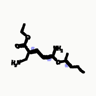 CC/C=C(\C)O/C(N)=C/C=C(\CN)C(=O)OCC